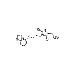 CCCC=C1SC(=O)N(CCCSc2cccc3nccn23)C1=O